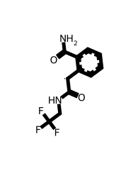 NC(=O)c1ccccc1[CH]C(=O)NCC(F)(F)F